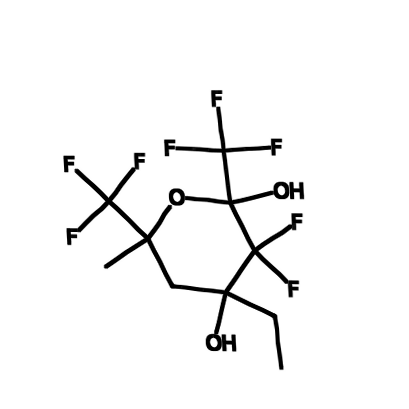 CCC1(O)CC(C)(C(F)(F)F)OC(O)(C(F)(F)F)C1(F)F